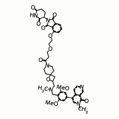 COc1cc(-c2cn(C)c(=O)c3cnccc23)cc(OC)c1CN(C)CC1CC2(CCN(C(=O)CCOCCOc3cccc4c3C(=O)N(C3CCC(=O)NC3=O)C4=O)CC2)O1